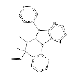 C=CC1(C)c2ccccc2N2c3nccnc3N(c3ccncc3)C2C1C